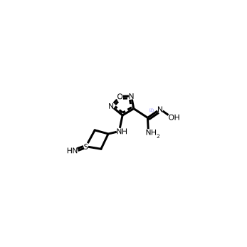 N=S1CC(Nc2nonc2/C(N)=N/O)C1